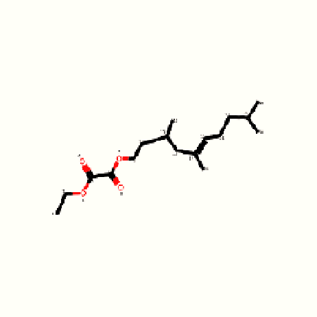 CCOC(=O)C(=O)OCCC(C)CC(C)=CCCC(C)C